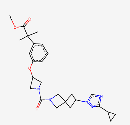 COC(=O)C(C)(C)c1cccc(OC2CN(C(=O)N3CC4(CC(n5cnc(C6CC6)n5)C4)C3)C2)c1